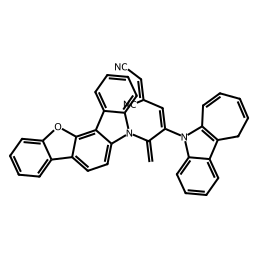 C=C(/C(=C\C(C#N)=C\C#N)n1c2c(c3ccccc31)CC=CC=C2)n1c2ccccc2c2c3oc4ccccc4c3ccc21